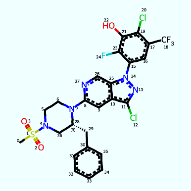 CS(=O)(=O)N1CCN(c2cc3c(Cl)nn(-c4cc(C(F)(F)F)c(Cl)c(O)c4F)c3cn2)[C@H](Cc2ccccc2)C1